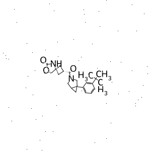 CC(C)(C)c1cccc(C23CC2CN(C(=O)[C@H]2C[C@]4(COC(=O)N4)C2)C3)c1